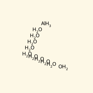 O.O.O.O.O.O.O.O.O.O.[AlH3]